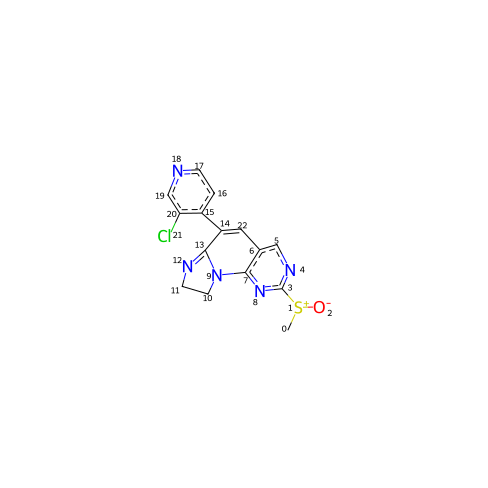 C[S+]([O-])c1ncc2c(n1)N1CCN=C1C(c1ccncc1Cl)=C2